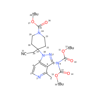 Cc1nccc2c1c(N(C(=O)OC(C)(C)C)C(=O)OC(C)(C)C)nn2C1(CC#N)CCN(C(=O)OC(C)(C)C)CC1